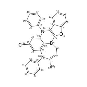 CC(C)C1=CCB2c3oc4ccccc4c3N(c3ccccc3)c3cc(Cl)cc(c32)N1c1ccccc1